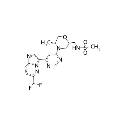 C[C@H]1CO[C@@H](CNS(C)(=O)=O)CN1c1cc(-c2cnc3ccc(C(F)F)nn23)ncn1